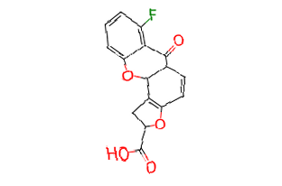 O=C(O)C1CC2=C(C=CC3C(=O)c4c(F)cccc4OC23)O1